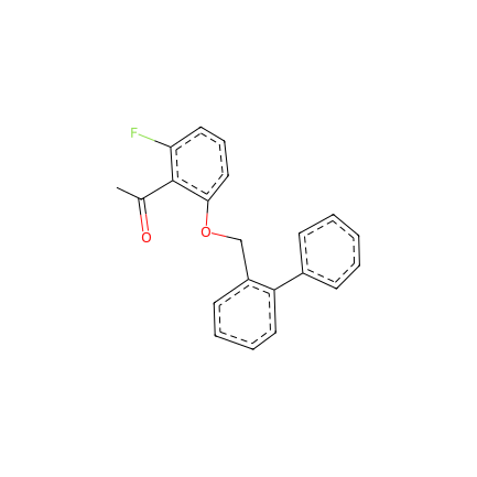 CC(=O)c1c(F)cccc1OCc1ccccc1-c1ccccc1